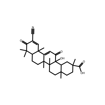 CC1(C(=O)O)CCC2(C)CCC3(C)C4(C)CCC5C(C)(C)C(=O)C(C#N)=CC5(C)C4=CC(=O)C3(O)C2C1